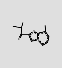 Cc1cccn2cc(C(=O)C(C)C)nc12